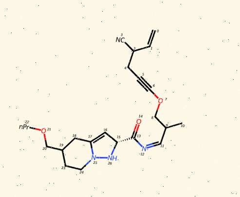 C=CC(C#N)CC#COCC(C)/C=N\C(=O)[C@H]1C=C2CC(COCCC)CCN2N1